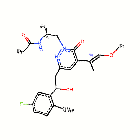 COc1ccc(F)cc1C(O)Cc1cc(/C(C)=C/OC(C)C)c(=O)n(C[C@@H](NC(=O)C(C)C)C(C)C)n1